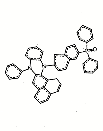 O=P(c1ccccc1)(c1ccccc1)c1ccc2cc(N3c4ccccc4N(c4ccccc4)c4cc5cccc6c5c(c43)CC=C6)ccc2c1